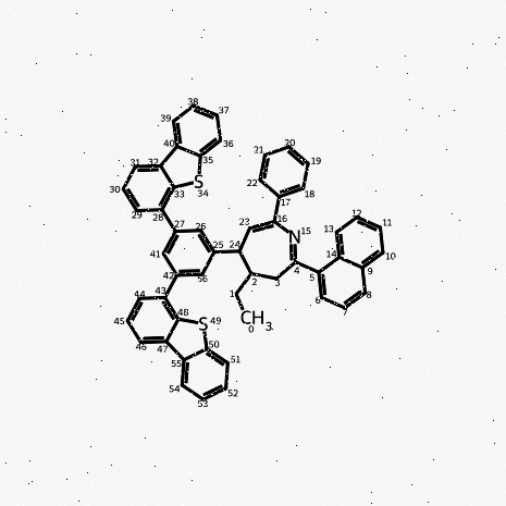 CCC1CC(c2cccc3ccccc23)=NC(c2ccccc2)=CC1c1cc(-c2cccc3c2sc2ccccc23)cc(-c2cccc3c2sc2ccccc23)c1